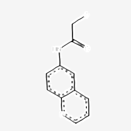 O=C(C[S])Nc1ccc2ncccc2c1